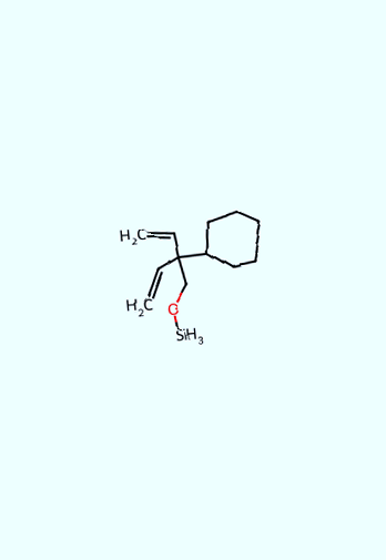 C=CC(C=C)(CO[SiH3])C1CCCCC1